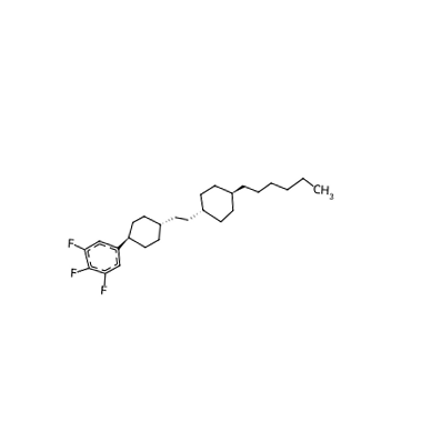 CCCCCC[C@H]1CC[C@H](CC[C@H]2CC[C@H](c3cc(F)c(F)c(F)c3)CC2)CC1